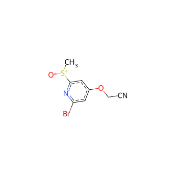 C[S+]([O-])c1cc(OCC#N)cc(Br)n1